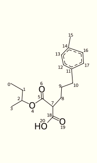 CCC(C)OC(=O)C(CCCc1ccc(C)cc1)C(=O)O